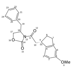 COc1ccc2c(c1)CC[C@H]2CC(=O)N1C(=O)OCC1Cc1ccccc1